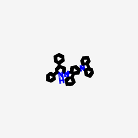 C1=C(c2ccccc2)C=C(n2c3ccccc3c3cc(-n4c5ccccc5c5ccccc54)ccc32)NC1c1ccccc1